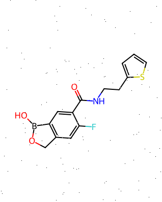 O=C(NCCc1cccs1)c1cc2c(cc1F)COB2O